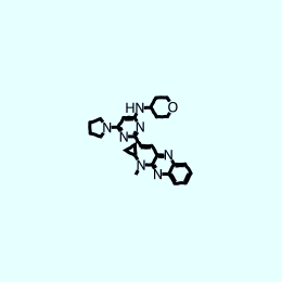 CN(c1nc2ccccc2nc1/C=C/c1nc(NC2CCOCC2)cc(N2CCCC2)n1)C1CC1